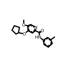 COc1cnc(C(=O)Nc2cccc(C)c2)cc1OC1CCCC1